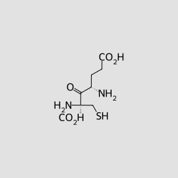 N[C@@H](CCC(=O)O)C(=O)[C@](N)(CS)C(=O)O